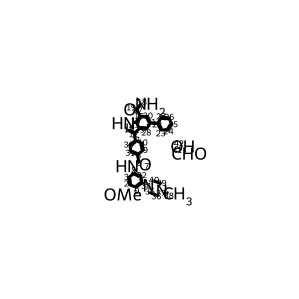 COc1ccc(NC(=O)c2ccc(-c3c[nH]c4c(C(N)=O)cc(-c5ccccc5)cc34)cc2)cc1N1CCN(C)CC1.O=CO